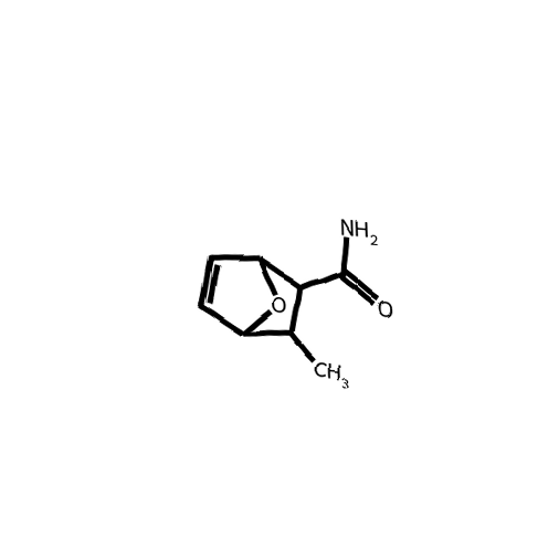 CC1C2C=CC(O2)C1C(N)=O